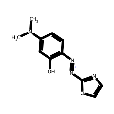 CN(C)c1ccc(/N=N/c2ncco2)c(O)c1